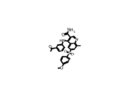 COc1ccc(S(=O)(=O)c2cc(C)c3ncc(C(N)=O)c(Nc4cccc(C(C)=O)c4)c3c2)cc1